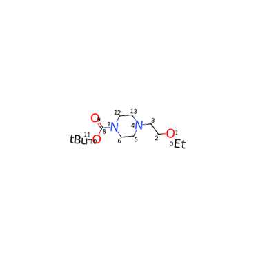 CCOCCN1CCN(C(=O)OC(C)(C)C)CC1